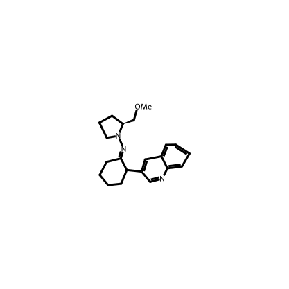 COC[C@@H]1CCCN1/N=C1\CCCCC1c1cnc2ccccc2c1